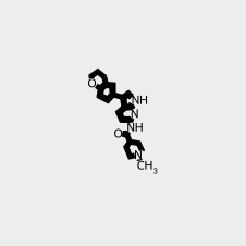 CN1CCC(C(=O)Nc2ccc3c(-c4ccc5c(c4)CCCO5)c[nH]c3n2)CC1